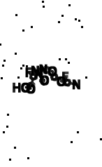 C/C(=C\C(=O)O)c1cc(F)c2nc(CN3CCC(Oc4cccc(COc5ccc(C#N)cc5F)c4)CC3)n(C[C@@H]3CCO3)c2c1